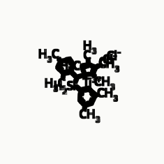 CC1=C(C)[C]([Ti+3])(C([SiH2]c2cc(C)cc(C)c2)c2ccc(C)cc2C)C(C)=C1C.[Cl-].[Cl-].[Cl-]